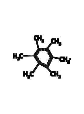 [CH2]c1c(C)c(C)c(C)c(C)c1C